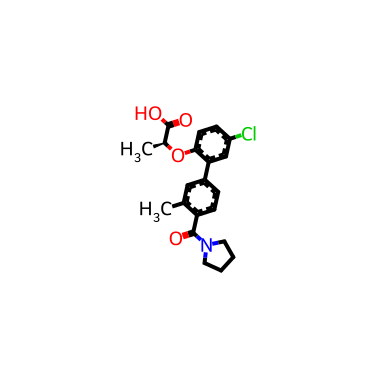 Cc1cc(-c2cc(Cl)ccc2O[C@@H](C)C(=O)O)ccc1C(=O)N1CCCC1